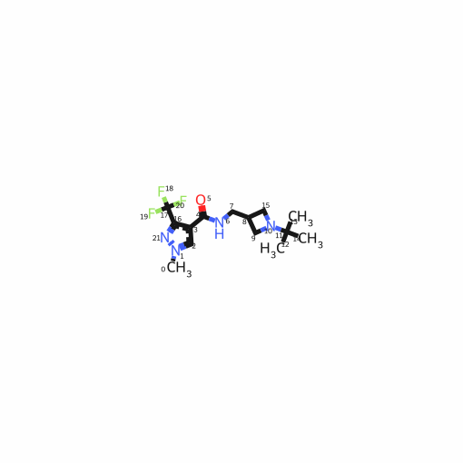 Cn1cc(C(=O)NCC2CN(C(C)(C)C)C2)c(C(F)(F)F)n1